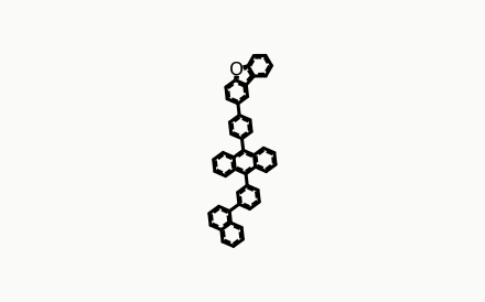 c1cc(-c2cccc3ccccc23)cc(-c2c3ccccc3c(-c3ccc(-c4ccc5oc6ccccc6c5c4)cc3)c3ccccc23)c1